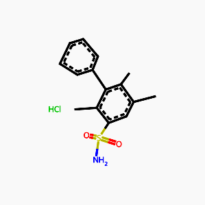 Cc1cc(S(N)(=O)=O)c(C)c(-c2ccccc2)c1C.Cl